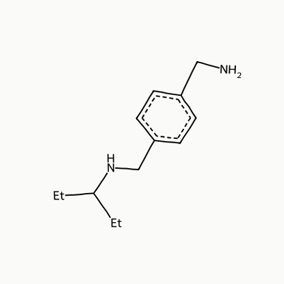 CCC(CC)NCc1ccc(CN)cc1